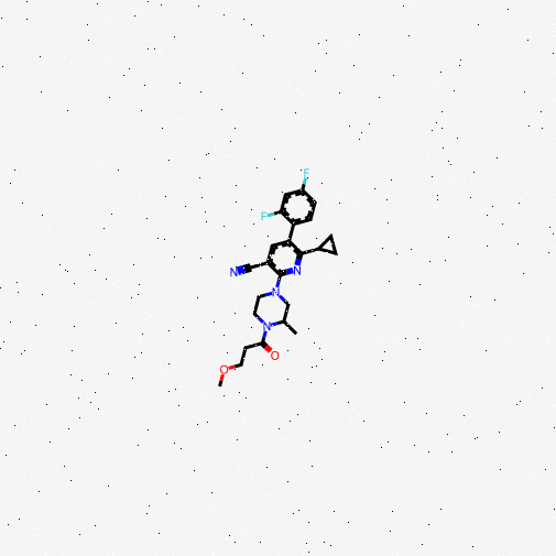 COCCC(=O)N1CCN(c2nc(C3CC3)c(-c3ccc(F)cc3F)cc2C#N)CC1C